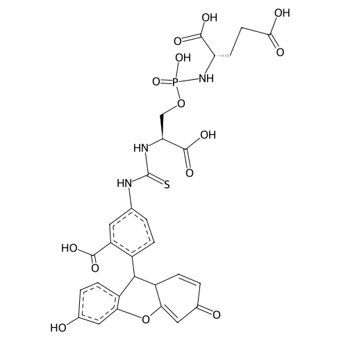 O=C1C=CC2C(=C1)Oc1cc(O)ccc1C2c1ccc(NC(=S)N[C@@H](COP(=O)(O)N[C@@H](CCC(=O)O)C(=O)O)C(=O)O)cc1C(=O)O